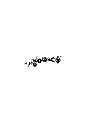 NC(=O)[C@@H]1CCCN1C(=O)c1ccc(-c2ccc(OCC3CCN(CC4(C(F)(F)F)CCC4)CC3)cn2)cc1F